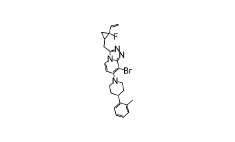 C=CC1(F)CC1Cc1nnc2c(Br)c(N3CCC(c4ccccc4C)CC3)ccn12